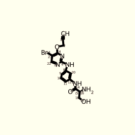 C#CCOc1nc(Nc2cccc(NC(=O)[C@@H](N)CO)c2)ncc1Br